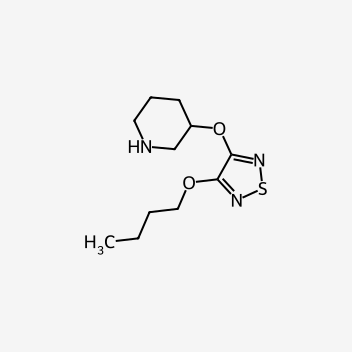 CCCCOc1nsnc1OC1CCCNC1